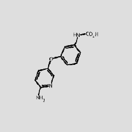 Nc1ccc(Oc2cccc(NC(=O)O)c2)cn1